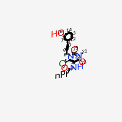 CCCC(=O)Nc1c(Cl)n(CC#Cc2cccc(O)c2)c(=O)n(C)c1=O